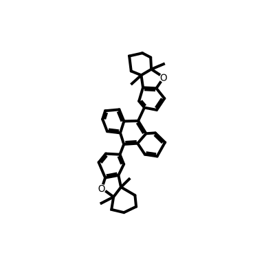 CC12CCCCC1(C)c1cc(-c3c4ccccc4c(-c4ccc5c(c4)C4(C)CCCCC4(C)O5)c4ccccc34)ccc1O2